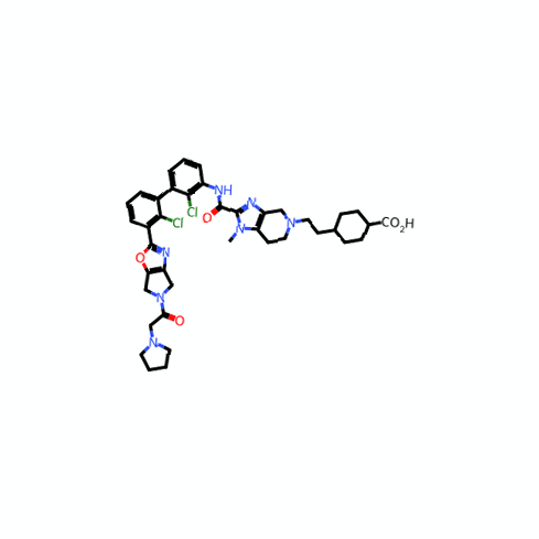 Cn1c(C(=O)Nc2cccc(-c3cccc(-c4nc5c(o4)CN(C(=O)CN4CCCC4)C5)c3Cl)c2Cl)nc2c1CCN(CCC1CCC(C(=O)O)CC1)C2